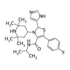 CC(C)NC(=O)C1=C(c2ccc(F)cc2)SC(c2cnc[nH]2)N1C1CC(C)(C)NC(C)(C)C1